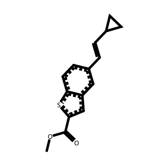 COC(=O)c1cc2cc(/C=C/C3CC3)ccc2s1